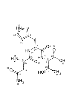 C[C@@H](O)[C@H](NC(=O)[C@H](Cc1c[nH]cn1)NC(=O)[C@@H](N)CC(N)=O)C(=O)O